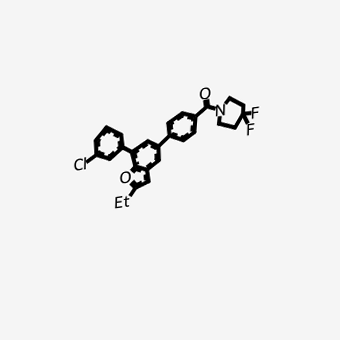 CCc1cc2cc(-c3ccc(C(=O)N4CCC(F)(F)CC4)cc3)cc(-c3cccc(Cl)c3)c2o1